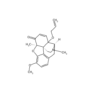 C=CCOC12C=CC(=O)[C@]3(C)Oc4c(OC)ccc5c4[C@]13CCN(C)[C@@H]2C5